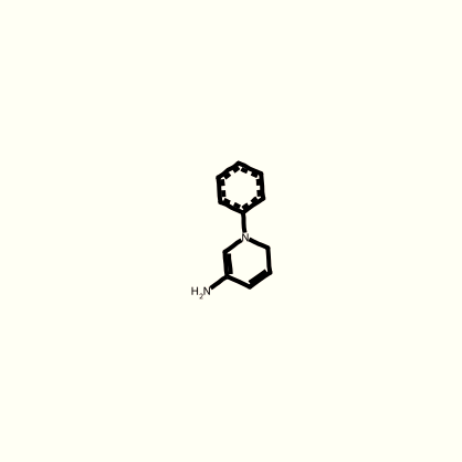 NC1=CN(c2ccccc2)CC=C1